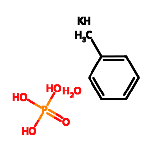 Cc1ccccc1.O.O=P(O)(O)O.[KH]